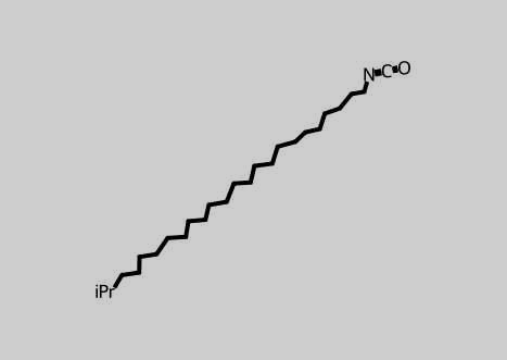 CC(C)CCCCCCCCCCCCCCCCCCCCCCN=C=O